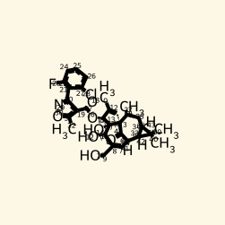 CC1=C[C@]23C(=O)[C@@H](C=C(CO)[C@@H](O)[C@]2(O)[C@H]1OC(=O)c1c(-c2c(F)cccc2Cl)noc1C)[C@H]1[C@@H](C[C@H]3C)C1(C)C